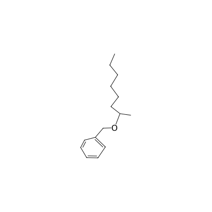 CCCCCCC(C)OCc1ccccc1